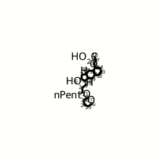 CCCCC[C@@H](CC[C@H]1C(O)C[C@@H]2Cc3c(cccc3OCC(=O)O)C[C@@H]21)OC1CCCCO1